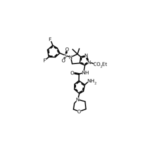 CCOC(=O)n1nc2c(c1NC(=O)c1ccc(N3CCOCC3)cc1N)CN(S(=O)(=O)c1cc(F)cc(F)c1)C2(C)C